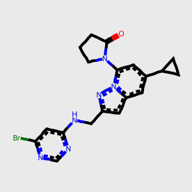 O=C1CCCN1c1cc(C2CC2)cc2cc(CNc3cc(Br)ncn3)nn12